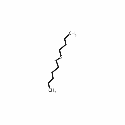 CCCCC[CH]SCCCC